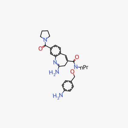 CCCN(OCc1ccc(N)cc1)C(=O)C1=Cc2ccc(C(=O)N3CCCC3)cc2N=C(N)C1